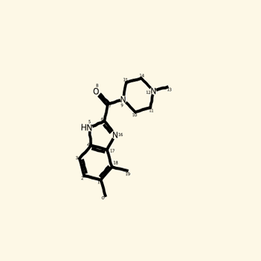 Cc1ccc2[nH]c(C(=O)N3CCN(C)CC3)nc2c1C